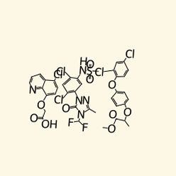 COC(=O)C(C)Oc1ccc(Oc2ccc(Cl)cc2Cl)cc1.Cc1nn(-c2cc(NS(C)(=O)=O)c(Cl)cc2Cl)c(=O)n1C(F)F.O=C(O)COc1ccc(Cl)c2cccnc12